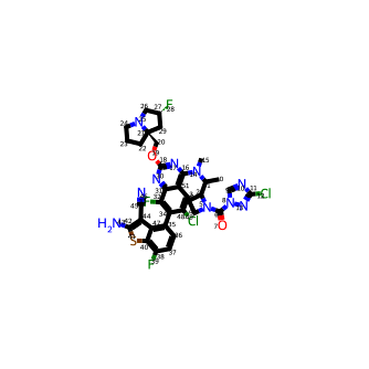 CC(C1CCN1C(=O)n1cnc(Cl)n1)N(C)c1nc(OC[C@@]23CCCN2C[C@H](F)C3)nc2c(F)c(-c3ccc(F)c4sc(N)c(C#N)c34)c(Cl)cc12